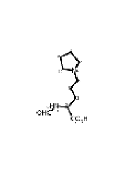 O=CNC(CCCN1CCCC1)C(=O)O